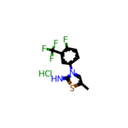 Cc1cn(-c2ccc(F)c(C(F)(F)F)c2)c(=N)s1.Cl